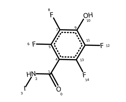 O=C(NI)c1c(F)c(F)c(O)c(F)c1F